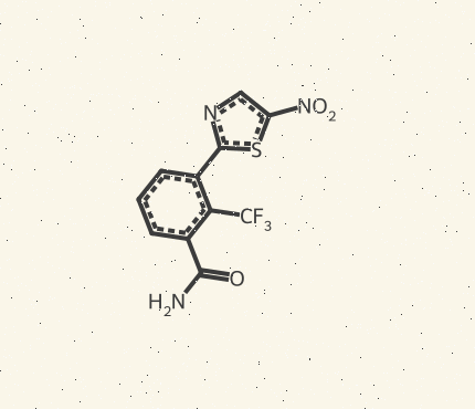 NC(=O)c1cccc(-c2ncc([N+](=O)[O-])s2)c1C(F)(F)F